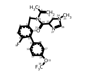 C=C(C)N(Cc1ccc(F)c(-c2ccc(OC(F)(F)F)cc2)c1)C(=O)C1CN(C)C=N1